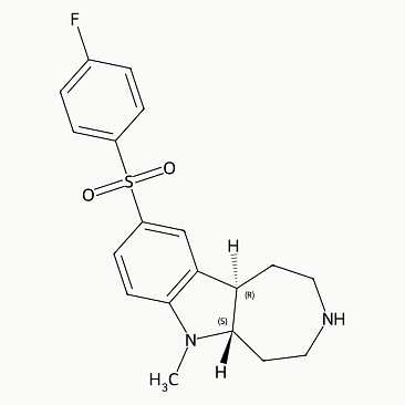 CN1c2ccc(S(=O)(=O)c3ccc(F)cc3)cc2[C@H]2CCNCC[C@@H]21